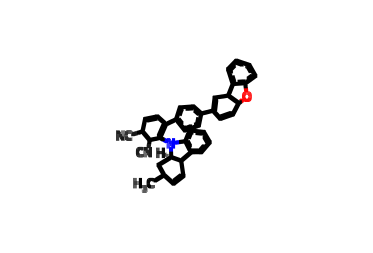 CC1C=CC2c3ccccc3N(C3=C(c4ccc(C5=CC6c7ccccc7OC6C=C5)cc4)C=CC(C#N)C3C#N)[C@@H]2C1